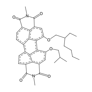 CCCCC(CC)COc1cc2c3c(ccc4c5ccc6c7c(cc(OCC(C)C)c(c1c34)c75)C(=O)N(C)C6=O)C(=O)N(C)C2=O